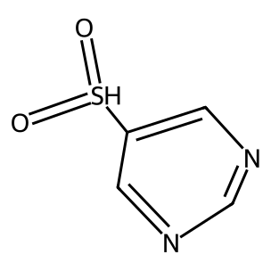 O=[SH](=O)c1cncnc1